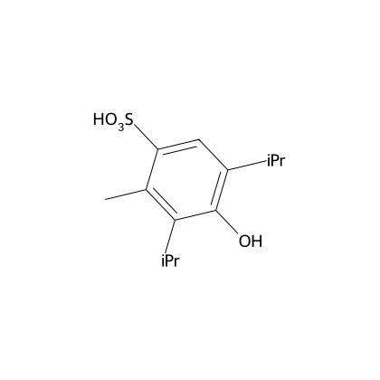 Cc1c(S(=O)(=O)O)cc(C(C)C)c(O)c1C(C)C